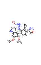 COc1cc2ncc(C(N)=O)c(Nc3cccc(C(N)C=O)c3C)c2cc1OC